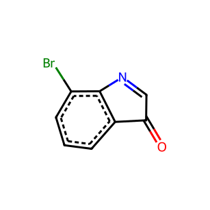 O=C1C=Nc2c(Br)cccc21